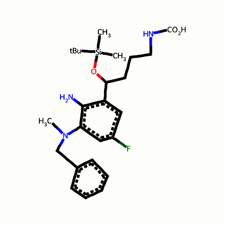 CN(Cc1ccccc1)c1cc(F)cc(C(CCCNC(=O)O)O[Si](C)(C)C(C)(C)C)c1N